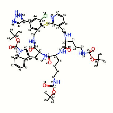 CN1C(=O)[C@H](CCCCNC(=O)OC(C)(C)C)NC(=O)[C@H](CCCNC(=O)OC(C)(C)C)NCc2cccnc2Sc2c(Cl)cc(-c3cn[nH]n3)cc2CNC(=O)[C@@H]1Cc1cn(C(=O)OC(C)(C)C)c2ccccc12